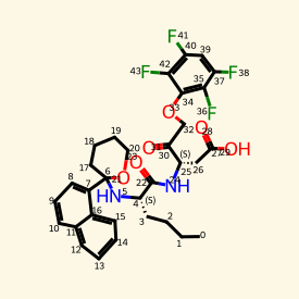 CCCC[C@H](NC1(c2cccc3ccccc23)CCCCO1)C(=O)N[C@@H](CC(=O)O)C(=O)COc1c(F)c(F)cc(F)c1F